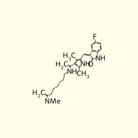 C=C(CCCCCCNC(=C)c1c(C)[nH]c(/C=C2\C(=O)Nc3ccc(F)cc32)c1C)NC